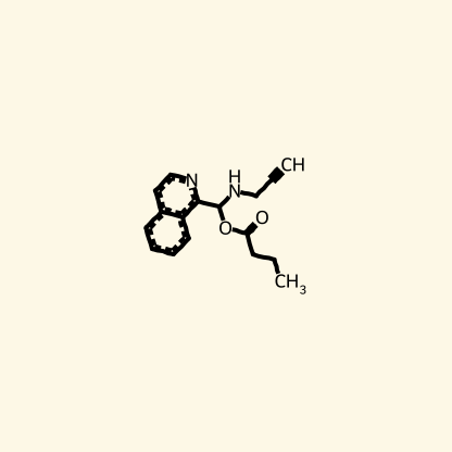 C#CCNC(OC(=O)CCC)c1nccc2ccccc12